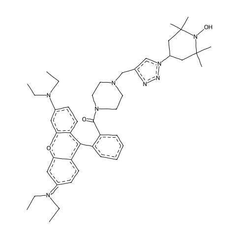 CCN(CC)c1ccc2c(-c3ccccc3C(=O)N3CCN(Cc4cn(C5CC(C)(C)N(O)C(C)(C)C5)nn4)CC3)c3ccc(=[N+](CC)CC)cc-3oc2c1